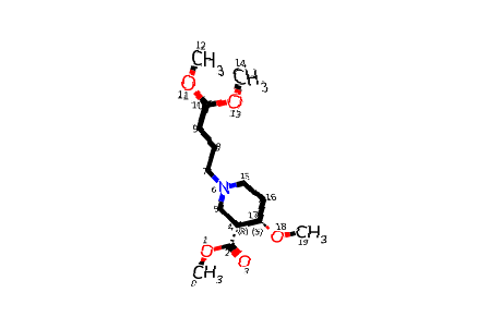 COC(=O)[C@@H]1CN(CCCC(OC)OC)CC[C@@H]1OC